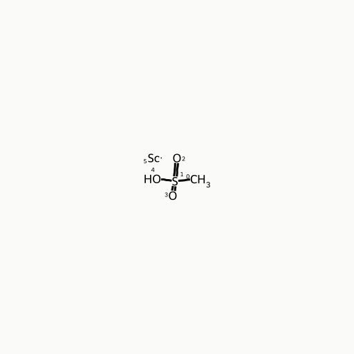 CS(=O)(=O)O.[Sc]